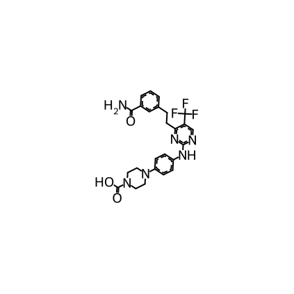 NC(=O)c1cccc(CCc2nc(Nc3ccc(N4CCN(C(=O)O)CC4)cc3)ncc2C(F)(F)F)c1